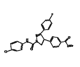 COC(=O)c1ccc(C2CN(C(=O)Nc3ccc(Cl)cc3)N=C2c2ccc(F)cc2)cc1